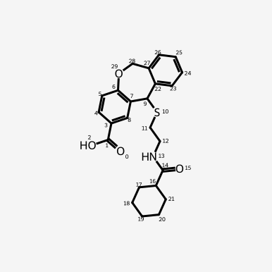 O=C(O)c1ccc2c(c1)C(SCCNC(=O)C1CCCCC1)c1ccccc1CO2